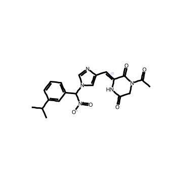 CC(=O)N1CC(=O)N/C(=C\c2cn(C(c3cccc(C(C)C)c3)[N+](=O)[O-])cn2)C1=O